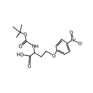 CC(C)(C)OC(=O)NC(CCOc1ccc([N+](=O)[O-])cc1)C(=O)O